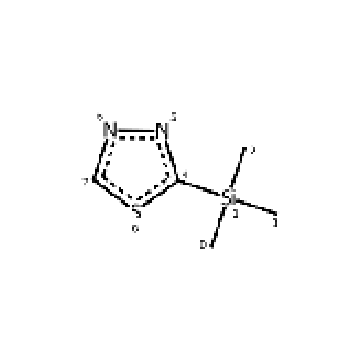 C[Si](C)(C)c1nncs1